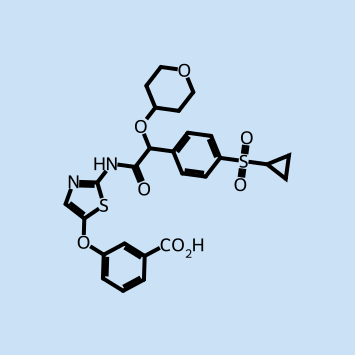 O=C(O)c1cccc(Oc2cnc(NC(=O)C(OC3CCOCC3)c3ccc(S(=O)(=O)C4CC4)cc3)s2)c1